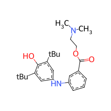 CN(C)CCOC(=O)c1cccc(Nc2cc(C(C)(C)C)c(O)c(C(C)(C)C)c2)c1